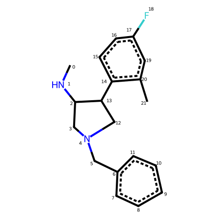 CNC1CN(Cc2ccccc2)CC1c1ccc(F)cc1C